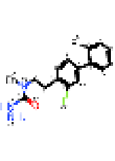 CCc1ccccc1-c1ccc(CCN(CC)C(=O)NN)c(F)c1